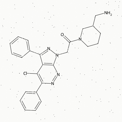 NCC1CCCN(C(=O)Cn2nc(-c3ccccc3)c3c(Cl)c(-c4ccccc4)nnc32)C1